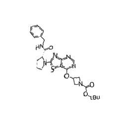 CC(C)(C)OC(=O)N1CC(Oc2ncnc3nc(N4CCC[C@@H]4C(=O)NCc4ccccc4)sc23)C1